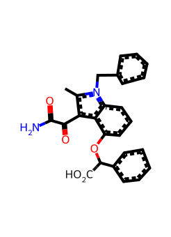 Cc1c(C(=O)C(N)=O)c2c(OC(C(=O)O)c3ccccc3)cccc2n1Cc1ccccc1